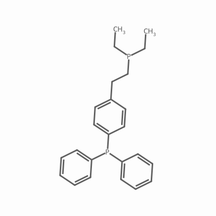 CCP(CC)CCc1ccc(P(c2ccccc2)c2ccccc2)cc1